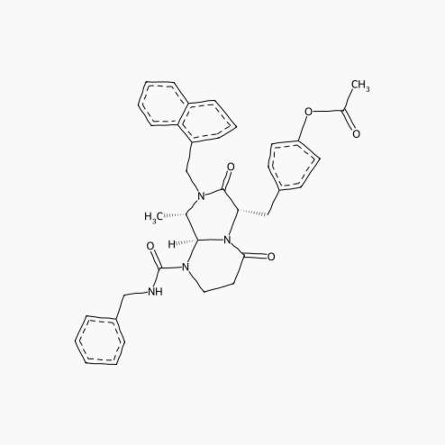 CC(=O)Oc1ccc(C[C@H]2C(=O)N(Cc3cccc4ccccc34)[C@@H](C)[C@@H]3N(C(=O)NCc4ccccc4)CCC(=O)N32)cc1